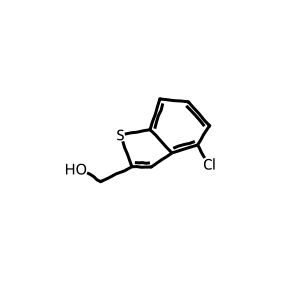 OCc1cc2c(Cl)cccc2s1